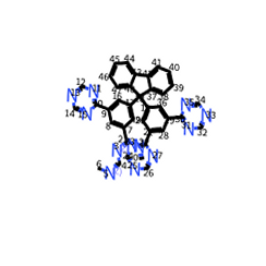 C=N/C(=N\C=N/C)c1cc(-c2ncncn2)cc(C2(c3cc(-c4ncncn4)cc(-c4ncncn4)c3)c3ccccc3-c3ccccc32)c1